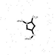 CCCCCOC1CC(C(=O)O)N(CCCCC)C1